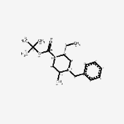 CC[C@@H]1CN(Cc2ccccc2)C(C)CN1C(=O)OC(C)(C)C